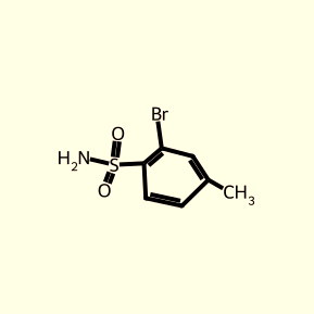 Cc1ccc(S(N)(=O)=O)c(Br)c1